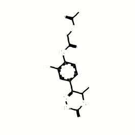 CC(=O)OCC(=O)Nc1ccc(C2=NNC(=O)NC2C)cc1Br